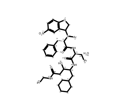 CC(=O)N(C1COc2ccc([N+](=O)[O-])cc21)[C@@H](Cc1ccccc1)C(=O)N[C@@H](CC(C)C)C(=O)NC(CC1CCCCC1)C(O)CC(=O)NCC(C)C.O